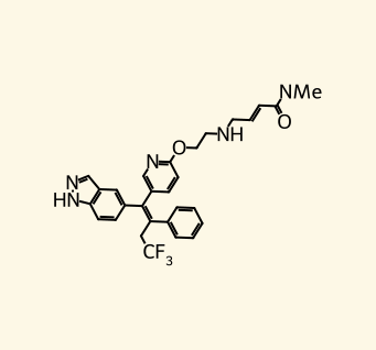 CNC(=O)/C=C/CNCCOc1ccc(/C(=C(/CC(F)(F)F)c2ccccc2)c2ccc3[nH]ncc3c2)cn1